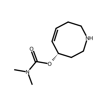 CN(C)C(=O)O[C@@H]1C=CCCNCC1